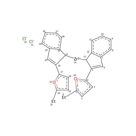 CCc1ccc(C2=Cc3ccccc3[CH]2[Zr+2][CH]2C(c3ccc(CC)o3)=Cc3ccccc32)o1.[Cl-].[Cl-]